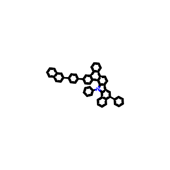 c1ccc(-c2cc3c4ccc5c6ccccc6c6cc(-c7ccc(-c8ccc9ccccc9c8)cc7)ccc6c5c4n(-c4ccccc4)c3c3ccccc23)cc1